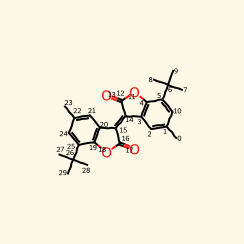 Cc1cc2c(c(C(C)(C)C)c1)OC(=O)C2=C1C(=O)Oc2c1cc(C)cc2C(C)(C)C